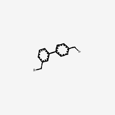 BrCc1ccc(-c2cccc(CBr)c2)cc1